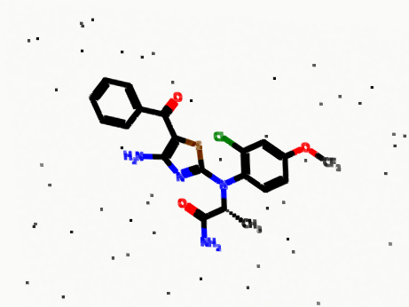 C[C@H](C(N)=O)N(c1nc(N)c(C(=O)c2ccccc2)s1)c1ccc(OC(F)(F)F)cc1Cl